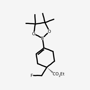 CCOC(=O)[C@]1(CF)CC=C(B2OC(C)(C)C(C)(C)O2)CC1